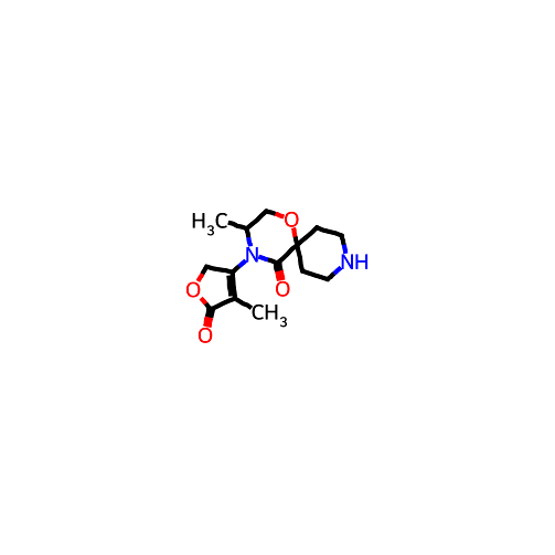 CC1=C(N2C(=O)C3(CCNCC3)OCC2C)COC1=O